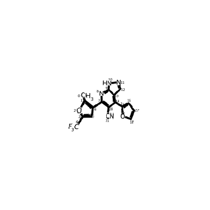 Cc1oc(C(F)(F)F)cc1-c1nc2[nH]ncc2c(-c2ccco2)c1C#N